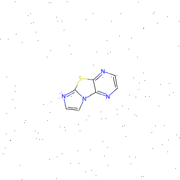 [c]1cnc2c(n1)sc1nccn12